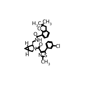 Cc1nc(C(=O)N2C[C@@H]3C[C@@H]3[C@H]2CNC(=O)c2cccc3c2OC(C)(C)C3)c(-c2cccc(Cl)c2)s1